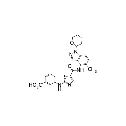 Cc1ccc2c(cnn2C2CCCCO2)c1NC(=O)c1cnc(Nc2cccc(C(=O)O)c2)s1